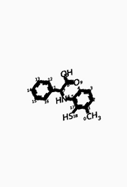 Cc1cccc(NC(C(=O)O)c2ccccc2)c1S